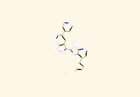 Cc1ccc(-c2ccnc3[nH]c(-c4n[nH]c5ncc(-c6ccncc6)cc45)nc23)s1